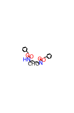 CN(CCCC[C@@H](C=O)NC(=O)OCc1ccccc1)C(=O)OCc1ccccc1